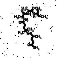 C=C/C(=C\C)NC(=O)[C@H](C)NC(=O)[C@H](C)NC(=O)CCC(C)(C)SSC(C)CCC(N)=O